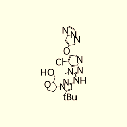 Cn1c(Nc2cc(C(C)(C)C)n(C3CCOC3CO)n2)nc2ncc(Oc3cnn4ccnc4c3)c(Cl)c21